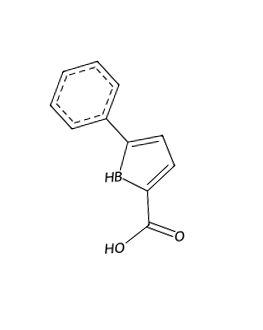 O=C(O)C1=CC=C(c2ccccc2)B1